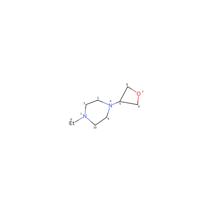 C[CH]N1CCN(C2COC2)CC1